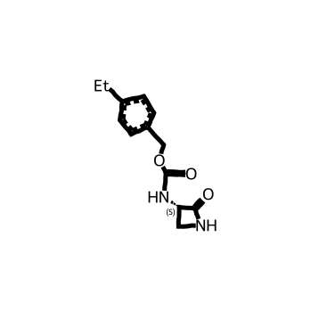 CCc1ccc(COC(=O)N[C@H]2CNC2=O)cc1